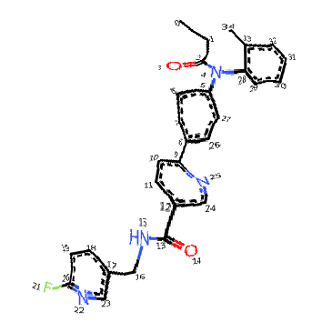 CCC(=O)N(c1ccc(-c2ccc(C(=O)NCc3ccc(F)nc3)cn2)cc1)c1ccccc1C